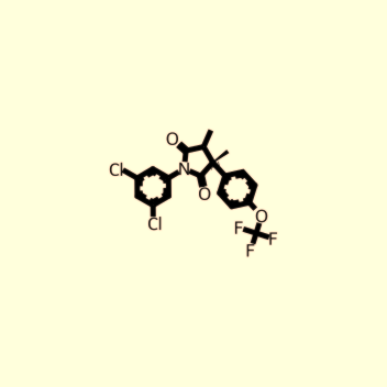 CC1C(=O)N(c2cc(Cl)cc(Cl)c2)C(=O)[C@@]1(C)c1ccc(OC(F)(F)F)cc1